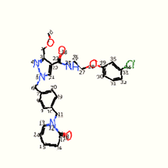 COCc1nn(Cc2ccc(Cn3ccccc3=O)cc2)cc1C(=O)NCCOc1cccc(Cl)c1